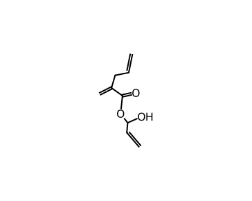 C=CCC(=C)C(=O)OC(O)C=C